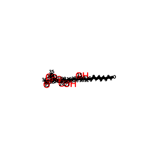 CCCCCCCCCCCCCCC(O)CCCCC(O)CC(=O)OCC(COC(C)=O)OC(C)=O